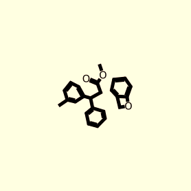 COC(=O)CC(c1ccccc1)c1cccc(C)c1.c1ccc2c(c1)CO2